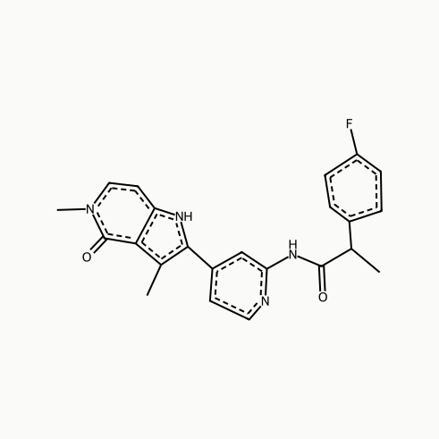 Cc1c(-c2ccnc(NC(=O)C(C)c3ccc(F)cc3)c2)[nH]c2ccn(C)c(=O)c12